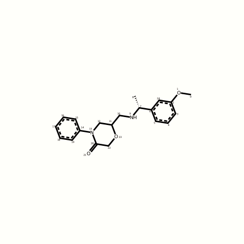 COc1cccc([C@@H](C)NCC2CN(c3ccccc3)C(=O)CO2)c1